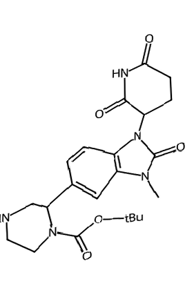 Cn1c(=O)n(C2CCC(=O)NC2=O)c2ccc(C3CNCCN3C(=O)OC(C)(C)C)cc21